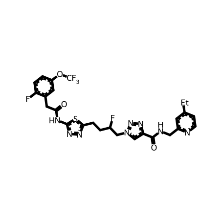 CCc1ccnc(CNC(=O)c2cn(CC(F)CCc3nnc(NC(=O)Cc4cc(OC(F)(F)F)ccc4F)s3)nn2)c1